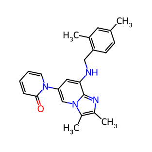 Cc1ccc(CNc2cc(-n3ccccc3=O)cn3c(C)c(C)nc23)c(C)c1